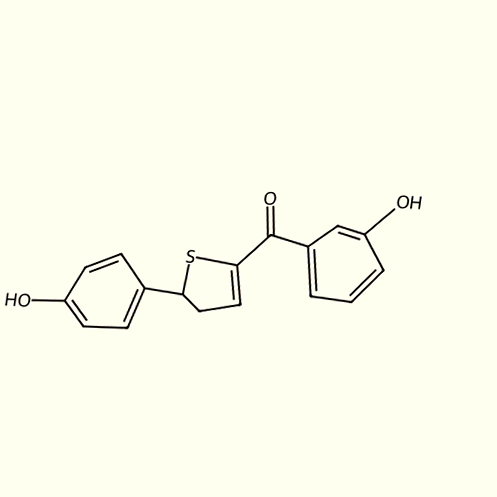 O=C(C1=CCC(c2ccc(O)cc2)S1)c1cccc(O)c1